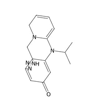 CC(C)N1C2=CC=CCN2CC23NN=NC2=CC(=O)C=C13